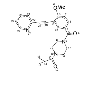 COc1ccc(C(=O)N2CCN(C(=O)C3CC3)CC2)cc1C#Cc1ccccn1